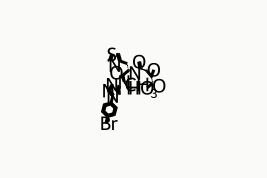 CN(C(=O)[C@H](Cc1cscn1)NC(=O)[C@H]1O[C@@H]1C(=O)O)c1cn(-c2ccc(Br)cc2)nn1